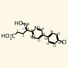 O=C(O)CC/C(=N\O)c1ncc(-c2ccc(Cl)cc2)cn1